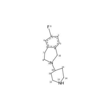 Fc1ccc2c(c1)CCN(C1CCNCC1)C2